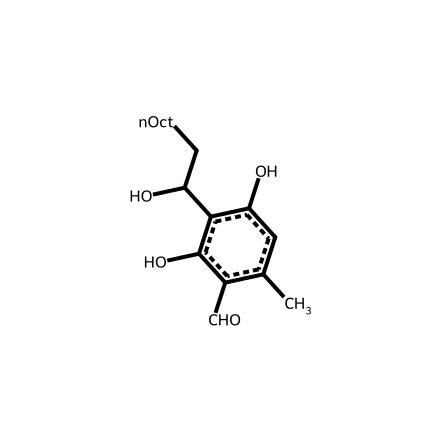 CCCCCCCCCC(O)c1c(O)cc(C)c(C=O)c1O